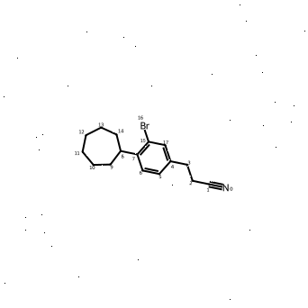 N#CCCc1ccc(C2CCCCCC2)c(Br)c1